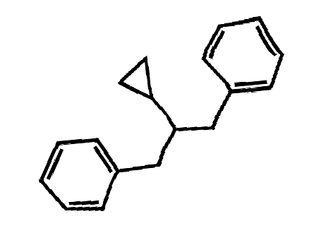 c1ccc(C[C](Cc2ccccc2)C2CC2)cc1